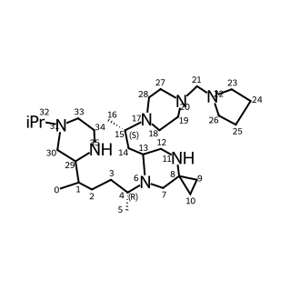 CC(CC[C@@H](C)N1CC2(CC2)NCC1C[C@H](C)N1CCN(CN2CCCC2)CC1)C1CN(C(C)C)CCN1